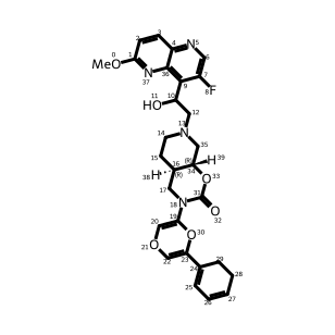 COc1ccc2ncc(F)c(C(O)CN3CC[C@@H]4CN(C5=COC=C(C6=CC=CCC6)O5)C(=O)O[C@H]4C3)c2n1